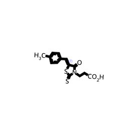 Cc1ccc(/C=C2\SC(=S)N(CCC(=O)O)C2=O)cc1